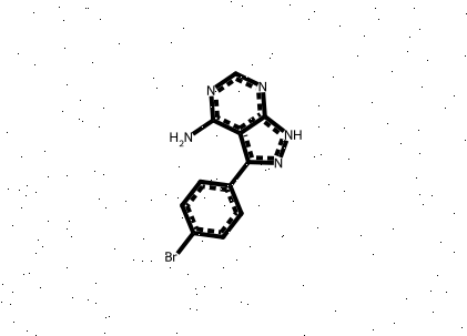 Nc1ncnc2[nH]nc(-c3ccc(Br)cc3)c12